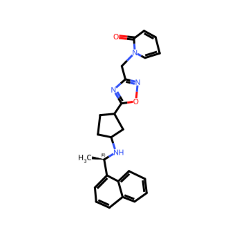 C[C@@H](NC1CCC(c2nc(Cn3ccccc3=O)no2)C1)c1cccc2ccccc12